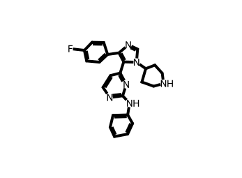 Fc1ccc(-c2ncn(C3CCNCC3)c2-c2ccnc(Nc3ccccc3)n2)cc1